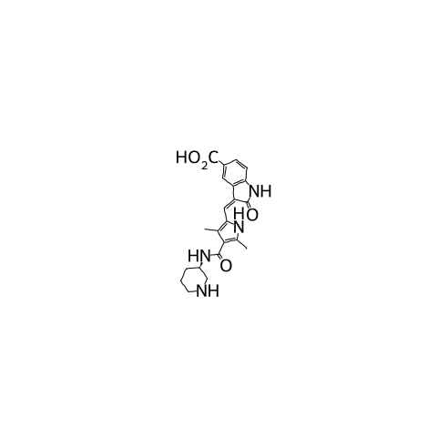 Cc1[nH]c(C=C2C(=O)Nc3ccc(C(=O)O)cc32)c(C)c1C(=O)N[C@@H]1CCCNC1